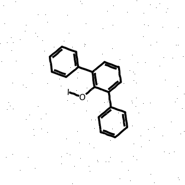 IOc1c(-c2ccccc2)cccc1-c1ccccc1